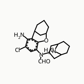 CN1C2CCCC1CC(N(C=O)c1cc(Cl)c(N)c3c1OC1CCCC3C1)C2